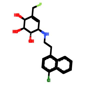 O[C@@H]1[C@@H](O)[C@@H](O)C(CF)=C[C@H]1NCCc1ccc(Cl)c2ccccc12